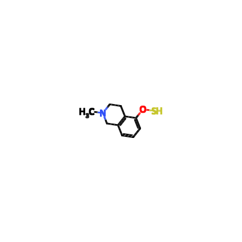 CN1CCc2c(cccc2OS)C1